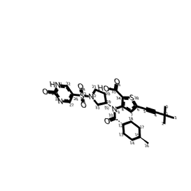 CC(C)(C)C#Cc1cc(N(C(=O)[C@H]2CC[C@H](C)CC2)[C@H]2CCN(S(=O)(=O)c3cnc(=O)[nH]c3)C2)c(C(=O)O)s1